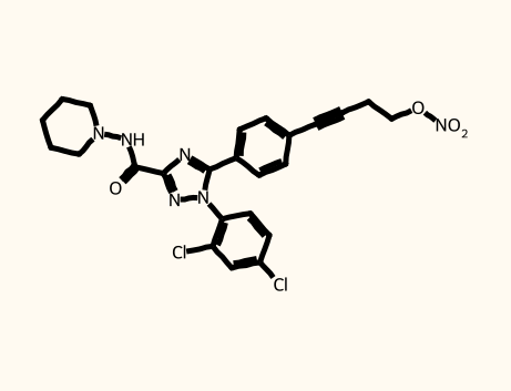 O=C(NN1CCCCC1)c1nc(-c2ccc(C#CCCO[N+](=O)[O-])cc2)n(-c2ccc(Cl)cc2Cl)n1